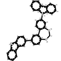 c1ccc2c(c1)oc1ccc(-c3ccc4c(c3)-c3ccc(-n5c6ccccc6c6ccccc65)cc3OCO4)cc12